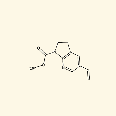 C=Cc1cnc2c(c1)CCN2C(=O)OC(C)(C)C